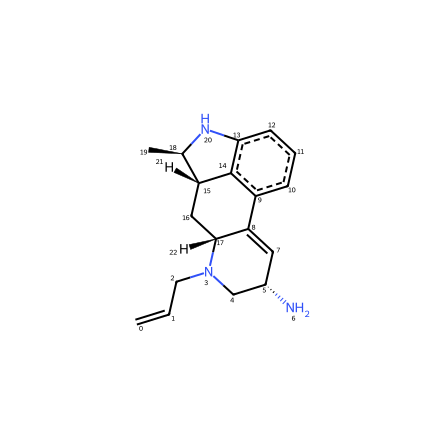 C=CCN1C[C@@H](N)C=C2c3cccc4c3[C@H](C[C@H]21)[C@@H](C)N4